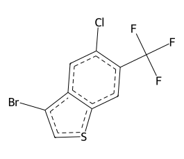 FC(F)(F)c1cc2scc(Br)c2cc1Cl